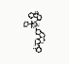 c1ccc(-c2nc(-c3ccc4c(ccc5ccc6c(ccc7oc8ccccc8c76)c54)c3)nc(-c3cccc4oc5ccccc5c34)n2)cc1